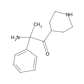 CC(N)(C(=O)C1CCNCC1)c1c[c]ccc1